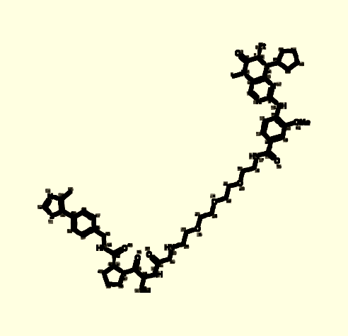 CC[C@@H]1C(=O)N(C)c2cnc(Nc3ccc(C(=O)NCCOCCOCCOCCNCC(=O)NC(C(=O)N4CCC[C@H]4C(=O)NCc4ccc(-c5scnc5C)cc4)C(C)(C)C)cc3OC)nc2N1C1CCCC1